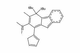 CC1=C([SiH](C)C)C(C2=CC=CC2)=C2[C]=c3ccccc3=C2C1(C(C)(C)C)C(C)(C)C